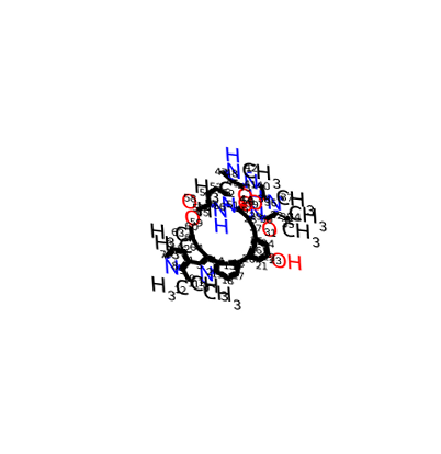 CCn1c(-c2cccnc2C(C)C)c2c3cc(ccc31)-c1cc(O)cc(c1)C[C@H](NC(=O)[C@H](C(C)C)N(C)C(=O)CN(C)C(=O)[C@@]1(C)CN1)C(=O)N1CCC[C@H](N1)C(=O)OCC(C)(C)C2